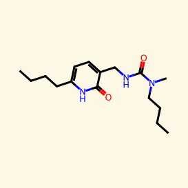 CCCCc1ccc(CNC(=O)N(C)CCCC)c(=O)[nH]1